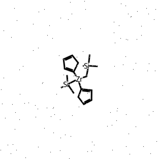 C[Si](C)(C)[CH2][Zr]([C]1=CC=CC1)([C]1=CC=CC1)[Si](C)(C)C